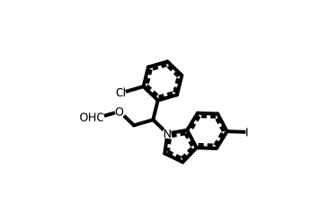 O=COCC(c1ccccc1Cl)n1ccc2cc(I)ccc21